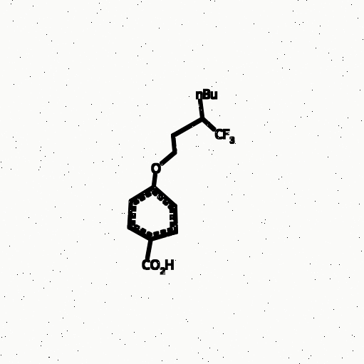 CCCCC(CCOc1ccc(C(=O)O)cc1)C(F)(F)F